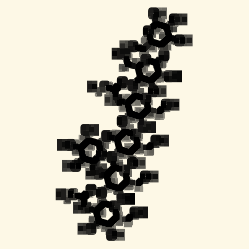 CC(=O)N[C@H]1[C@H](O[C@H]2[C@@H](O)[C@@H](CO)O[C@H](O[C@H]3[C@@H](O)[C@@H](CO)O[C@@H](O[C@H]4[C@@H](O)[C@@H](CO)O[C@@H](O[C@@H]5[C@H](O)[C@@H](O)[C@H](O[C@H]6[C@H](O)[C@@H](O)[C@H](O)O[C@@H]6CO)O[C@@H]5CO)[C@@H]4NC(C)=O)[C@@H]3O[C@@H]3O[C@@H](C)[C@@H](O)[C@@H](O)[C@@H]3O)[C@@H]2O)O[C@H](CO)[C@H](O)[C@@H]1O